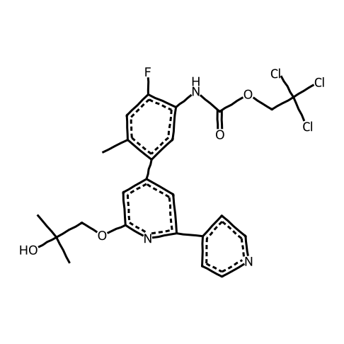 Cc1cc(F)c(NC(=O)OCC(Cl)(Cl)Cl)cc1-c1cc(OCC(C)(C)O)nc(-c2ccncc2)c1